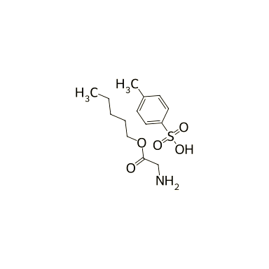 CCCCCOC(=O)CN.Cc1ccc(S(=O)(=O)O)cc1